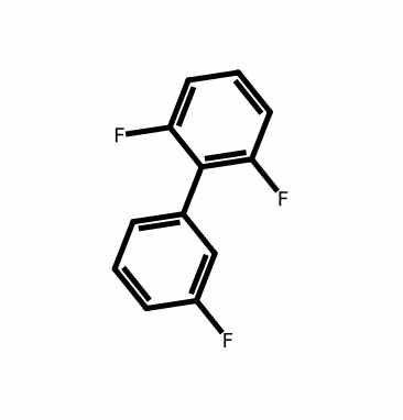 Fc1cccc(-c2c(F)cccc2F)c1